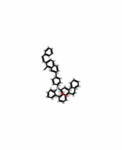 Cc1c(/C=C\c2ccccc2)ccc2ccc(-c3ccc(N(c4ccc5ccc6ccccc6c5c4)c4ccccc4-c4ccccc4)cc3)cc12